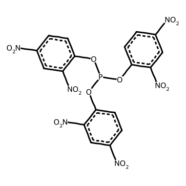 O=[N+]([O-])c1ccc(OP(Oc2ccc([N+](=O)[O-])cc2[N+](=O)[O-])Oc2ccc([N+](=O)[O-])cc2[N+](=O)[O-])c([N+](=O)[O-])c1